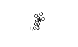 Cn1ccnc1C(=O)Oc1ncn(C(c2ccccc2)(c2ccccc2)c2ccccc2)n1